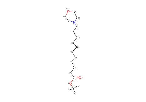 CC(C)(C)OC(=O)CCCCCCCCCCN1CCOCC1